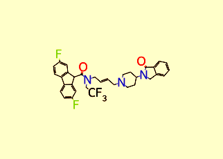 O=C(C1c2cc(F)ccc2-c2ccc(F)cc21)N(CC=CCN1CCC(N2Cc3ccccc3C2=O)CC1)CC(F)(F)F